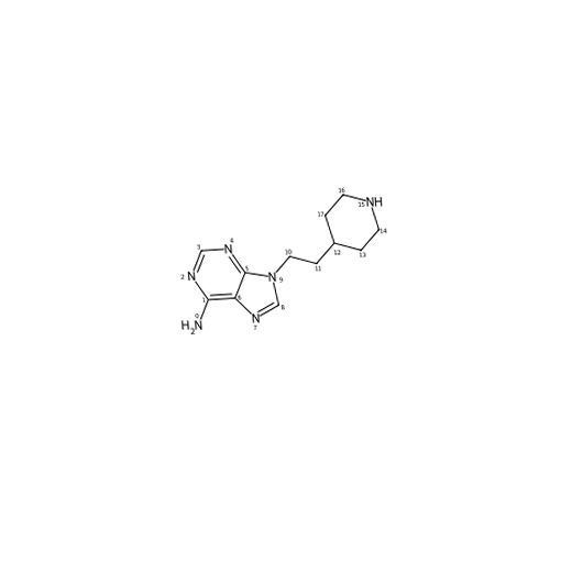 Nc1ncnc2c1ncn2CCC1CCNCC1